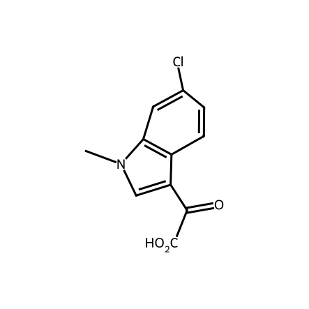 Cn1cc(C(=O)C(=O)O)c2ccc(Cl)cc21